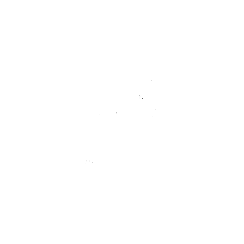 COc1ccc(CN(C(C)C)C(C)C)cc1